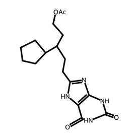 CC(=O)OCCC(CCc1nc2[nH]c(=O)[nH]c(=O)c2[nH]1)C1CCCC1